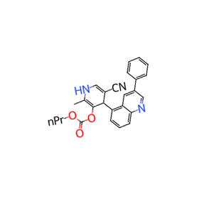 CCCOC(=O)OC1=C(C)NC=C(C#N)C1c1cccc2ncc(-c3ccccc3)cc12